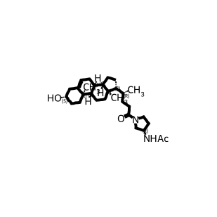 CC(=O)N[C@@H]1CCN(C(=O)CC[C@@H](C)[C@H]2CC[C@H]3[C@@H]4CC=C5C[C@@H](O)CC[C@]5(C)[C@H]4CC[C@]23C)C1